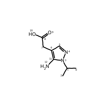 CC(C)n1ncc(CC(=O)O)c1N